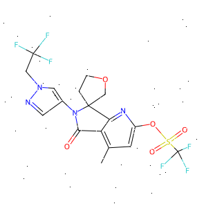 Cc1cc(OS(=O)(=O)C(F)(F)F)nc2c1C(=O)N(c1cnn(CC(F)(F)F)c1)C21CCOC1